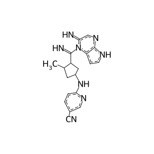 CC1CC(Nc2ccc(C#N)cn2)CC1C(=N)n1c(=N)cnc2[nH]ccc21